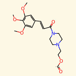 COc1cc(/C=C/C(=O)N2CCN(CCO[C]=O)CC2)cc(OC)c1OC